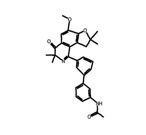 COc1cc2c(c3c1OC(C)(C)C3)C(c1cccc(-c3cccc(NC(C)=O)c3)c1)=NC(C)(C)C2=O